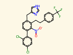 O=[N+]([O-])c1c(-c2ccc(Cl)cc2Cl)ccc(Cc2c[nH]cn2)c1CCc1ccc(C(F)(F)F)cc1